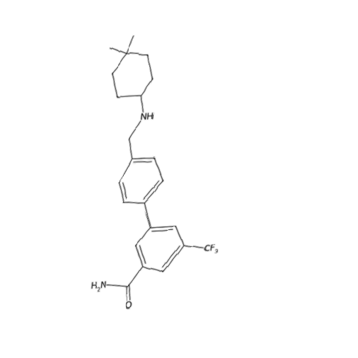 CC1(C)CCC(NCc2ccc(-c3cc(C(N)=O)cc(C(F)(F)F)c3)cc2)CC1